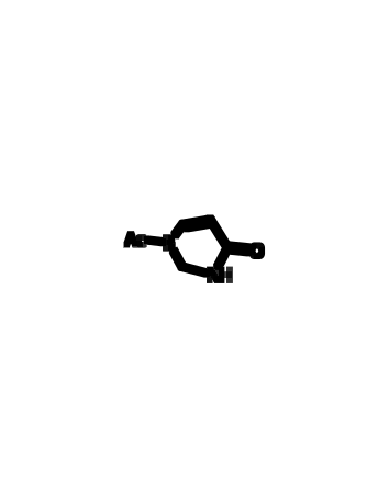 CC(=O)B1C=CC(=O)NC1